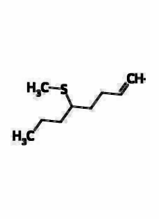 [CH]=CCCC(CCC)SC